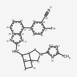 Cc1nsc(N2CC3C(Nc4nc5c(-c6ccc(F)c(C#N)c6)cccn5n4)C4CCC43C2)n1